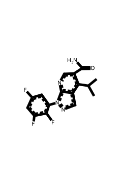 CC(C)c1c(C(N)=O)cnc2c1cnn2-c1cc(F)cc(F)c1F